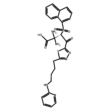 NC(N)(C(=O)O)[C@@H](C(=O)c1nnc(CCCCNc2ccccn2)s1)S(=O)(=O)c1cccc2ccccc12